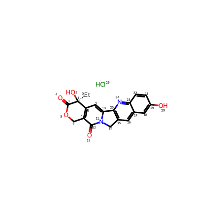 CC[C@@]1(O)C(=O)OCc2c1cc1n(c2=O)Cc2cc3cc(O)ccc3nc2-1.Cl